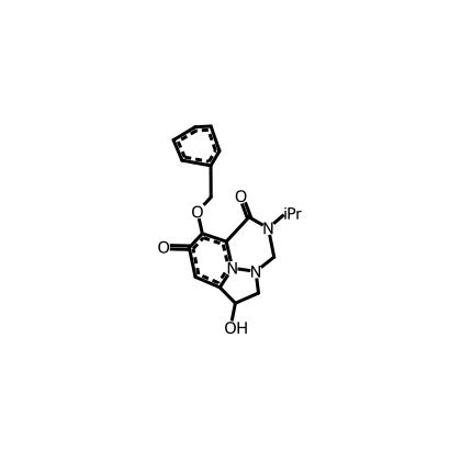 CC(C)N1CN2CC(O)c3cc(=O)c(OCc4ccccc4)c(n32)C1=O